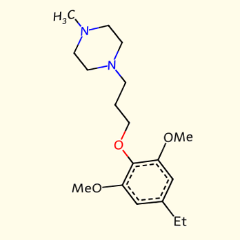 CCc1cc(OC)c(OCCCN2CCN(C)CC2)c(OC)c1